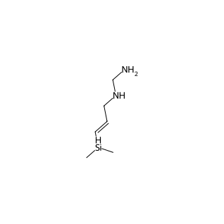 C[SiH](C)C=CCNCN